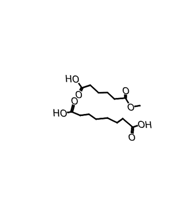 COC(=O)CCCCC(=O)O.O=C(O)CCCCCCC(=O)O